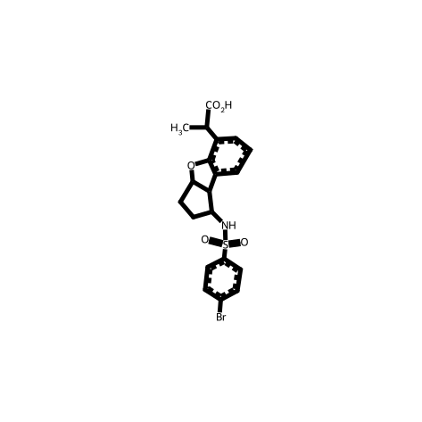 CC(C(=O)O)c1cccc2c1OC1CCC(NS(=O)(=O)c3ccc(Br)cc3)C21